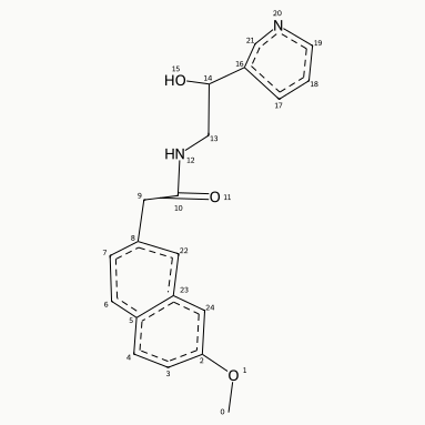 COc1ccc2ccc(CC(=O)NCC(O)c3cccnc3)cc2c1